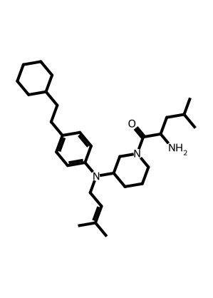 CC(C)=CCN(c1ccc(CCC2CCCCC2)cc1)C1CCCN(C(=O)C(N)CC(C)C)C1